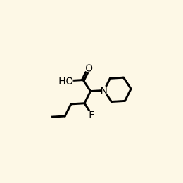 CCCC(F)C(C(=O)O)N1CCCCC1